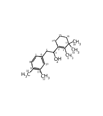 CC1=C(C(O)Cc2ccc(C)c(C)c2)CCCC1(C)C